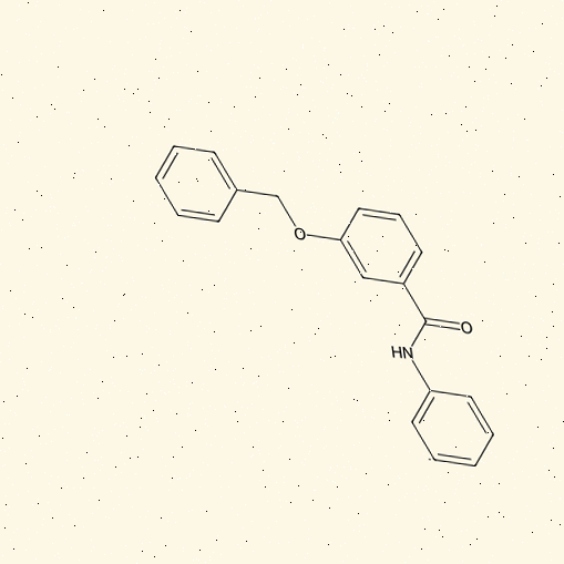 O=C(Nc1c[c]ccc1)c1cccc(OCc2ccccc2)c1